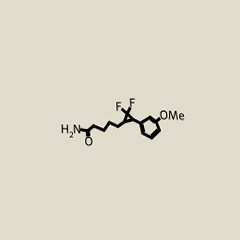 COc1cccc(C2C(CCCCC(N)=O)C2(F)F)c1